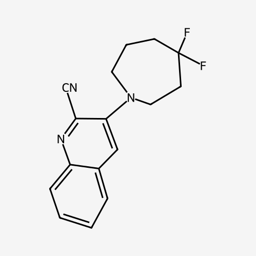 N#Cc1nc2ccccc2cc1N1CCCC(F)(F)CC1